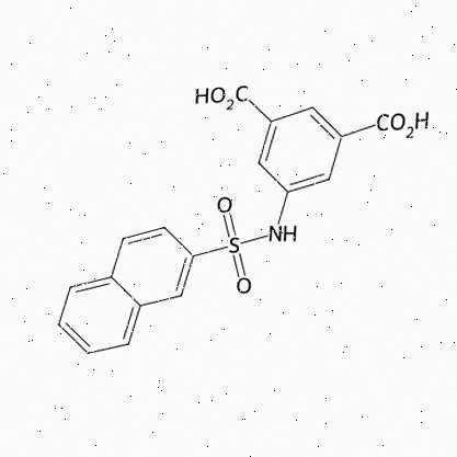 O=C(O)c1cc(NS(=O)(=O)c2ccc3ccccc3c2)cc(C(=O)O)c1